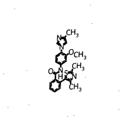 COc1cc(NC(=O)c2ccccc2-c2sc(C)nc2C)ccc1-n1cnc(C)c1